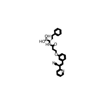 N#CC(=Cc1cccc(OCCC(=O)N[C@@H](CCc2ccccc2)B(O)O)c1)c1ccccn1